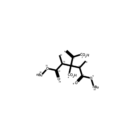 C=C(C(=O)O)C(C(=O)O)(C(C)C(=O)OCCCC)C(C)C(=O)OCCCC